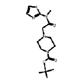 CN(C(=O)CN1CCN(C(=O)OC(C)(C)C)CC1)c1nccs1